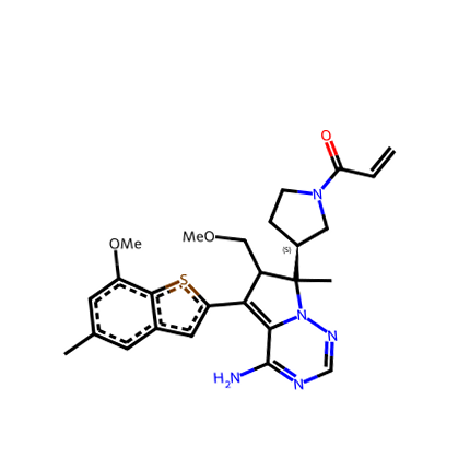 C=CC(=O)N1CC[C@H](C2(C)C(COC)C(c3cc4cc(C)cc(OC)c4s3)=C3C(N)=NC=NN32)C1